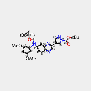 COc1cc(OC)cc(N(CO[Si](C)(C)C(C)(C)C)c2ccc3ncc(-c4cnn(C(=O)OC(C)(C)C)c4)nc3c2)c1